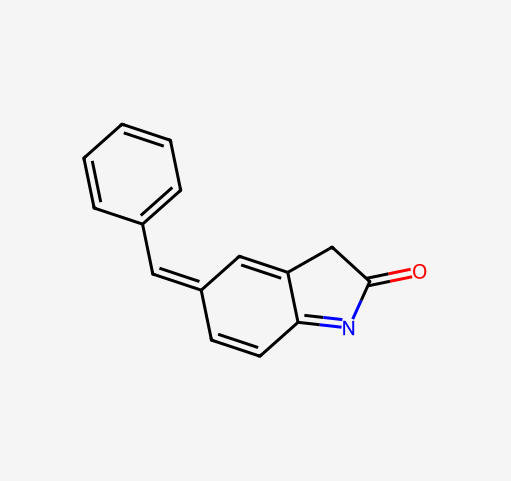 O=C1Cc2cc(=Cc3ccccc3)ccc2=N1